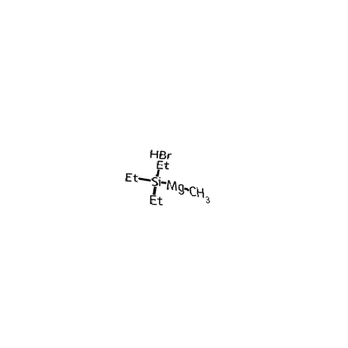 Br.CC[Si](CC)(CC)[Mg][CH3]